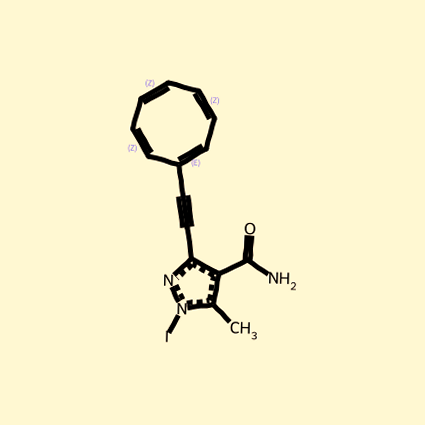 Cc1c(C(N)=O)c(C#CC2=C/C=C\C=C/C=C\2)nn1I